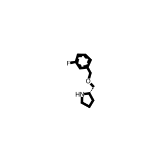 Fc1cccc(COC[C@@H]2CCCN2)c1